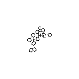 c1ccc(-c2ccc(N(c3ccc4c(c3)C3(c5ccccc5-c5ccccc53)c3ccc(-c5cccc6ccccc56)cc3-4)c3cccc4oc5ccccc5c34)cc2)cc1